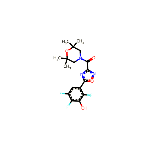 CC1(C)CN(C(=O)c2noc(-c3cc(F)c(F)c(O)c3F)n2)CC(C)(C)O1